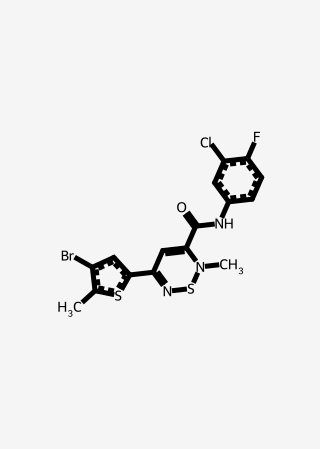 Cc1sc(C2=NSN(C)C(C(=O)Nc3ccc(F)c(Cl)c3)=C2)cc1Br